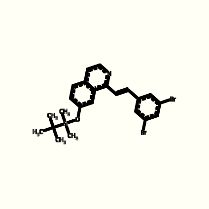 CC(C)(C)[Si](C)(C)Oc1ccc2ccnc(C=Cc3cc(Br)cc(Br)c3)c2c1